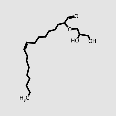 CCCCCCCC/C=C\CCCCCCC(C=O)OCC(O)CO